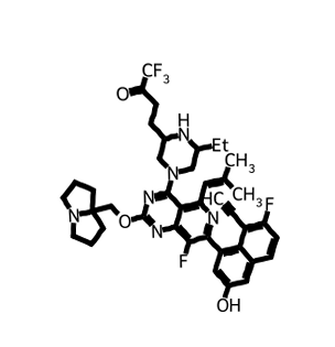 C#Cc1c(F)ccc2cc(O)cc(-c3nc(C=C(C)C)c4c(N5CC(CC)NC(CCC(=O)C(F)(F)F)C5)nc(OCC56CCCN5CCC6)nc4c3F)c12